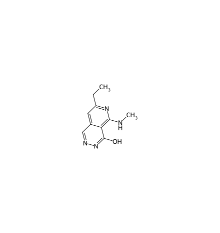 CCc1cc2cnnc(O)c2c(NC)n1